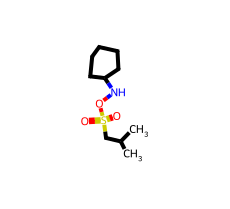 CC(C)CS(=O)(=O)ONC1CCCCC1